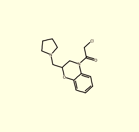 O=C(CCl)N1CC(CN2CCCC2)Oc2ccccc21